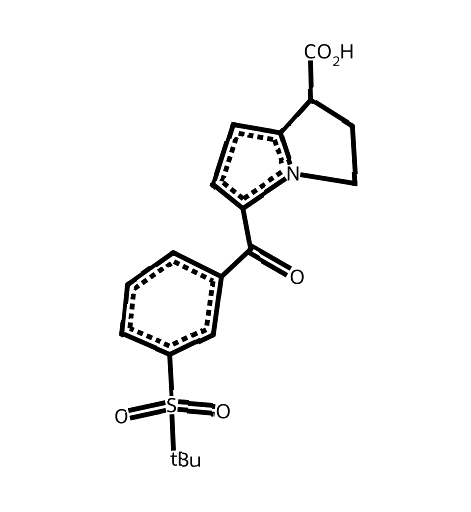 CC(C)(C)S(=O)(=O)c1cccc(C(=O)c2ccc3n2CCC3C(=O)O)c1